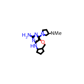 CN[C@@H]1CCN(c2nc(N)nc3c2OCC2CCCC2N3)C1